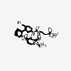 Cc1ccccc1-c1cc(N(C(=O)NCCC(=O)O)[C@H]2C(=O)C=CN(C)C2=O)ccc1F